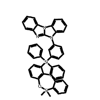 C[Si]1(C)Oc2cccc([Si](c3ccccc3)(c3ccccc3)c3cccc(-n4c5ccccc5n5c6ccccc6nc45)c3)c2Oc2ccccc21